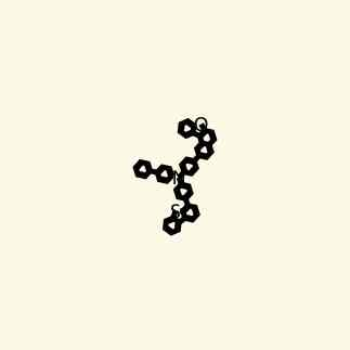 c1ccc(-c2ccc(N(c3ccc(-c4ccc5ccc6oc7ccccc7c6c5c4)cc3)c3ccc(-c4cccc5c4sc4ccccc45)cc3)cc2)cc1